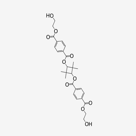 CC1(C)C(OC(=O)c2ccc(C(=O)OCCO)cc2)C(C)(C)C1OC(=O)c1ccc(C(=O)OCCO)cc1